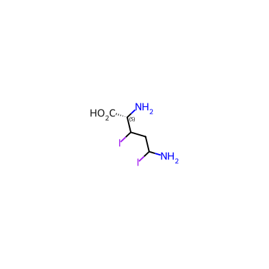 NC(I)CC(I)[C@@H](N)C(=O)O